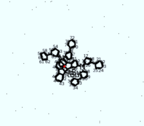 CC(C)(C)C1(C2(C(C)(C)C)c3ccccc3-c3ccc(N(c4cccc(-c5ccccc5)c4)c4cccc(-c5ccccc5)c4)cc32)c2ccccc2-c2ccc(N(c3cccc(-c4ccccc4)c3)c3cccc(-c4ccccc4)c3)cc21